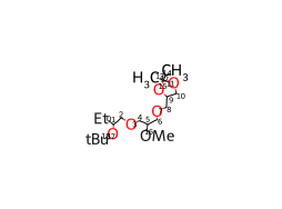 CCC(COCC(COCC1COC(C)(C)O1)OC)OC(C)(C)C